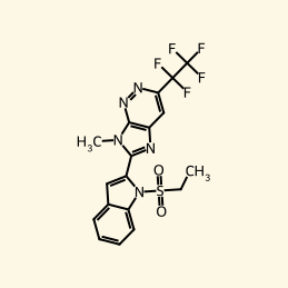 CCS(=O)(=O)n1c(-c2nc3cc(C(F)(F)C(F)(F)F)nnc3n2C)cc2ccccc21